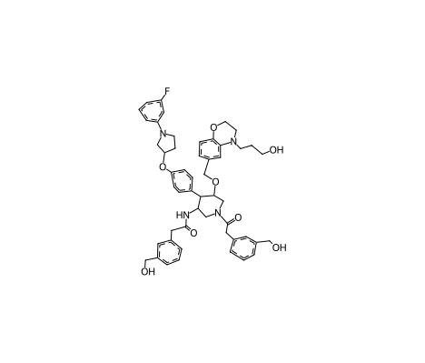 O=C(Cc1cccc(CO)c1)NC1CN(C(=O)Cc2cccc(CO)c2)CC(OCc2ccc3c(c2)N(CCCO)CCO3)C1c1ccc(OC2CCN(c3cccc(F)c3)C2)cc1